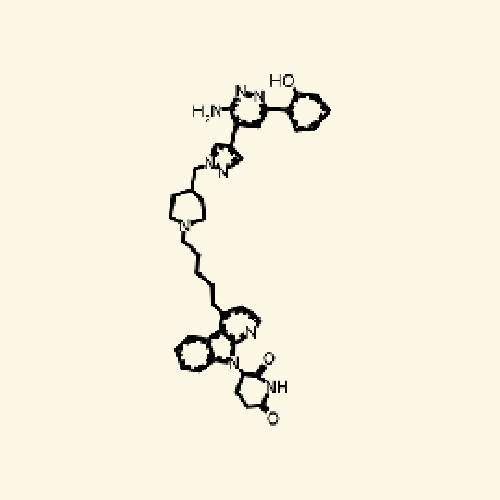 Nc1nnc(-c2ccccc2O)cc1-c1cnn(CC2CCN(CCCCCc3ccnc4c3c3ccccc3n4C3CCC(=O)NC3=O)CC2)c1